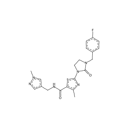 Cc1nc(N2CCN(Cc3ccc(F)cc3)C2=O)sc1C(=O)NCc1cnn(C)c1